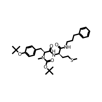 CSCC[C@@H](NC(=O)[C@H](Cc1ccc(OC(C)(C)C)cc1)N(C)C(=O)OC(C)(C)C)C(=O)NCCCc1ccccc1